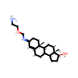 C[C@]12CC/C(=N\COCCN)C=C1CCC1C2CC[C@@]2(C)C1CC[C@@H]2O